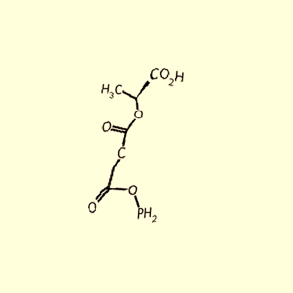 C[C@H](OC(=O)CCC(=O)OP)C(=O)O